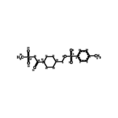 Cc1ccc(S(=O)(=O)OCC2CCN(C(=O)CS(C)(=O)=O)CC2)cc1